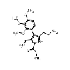 C=Cc1c(C(=O)OC)[nH]c(CCN)c1-c1ccc(OC)c(OC)c1OC